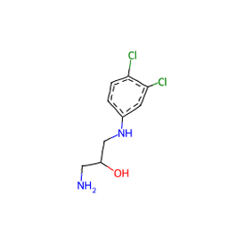 NCC(O)CNc1ccc(Cl)c(Cl)c1